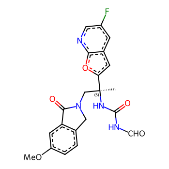 COc1ccc2c(c1)C(=O)N(C[C@](C)(NC(=O)NC=O)c1cc3cc(F)cnc3o1)C2